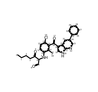 CCCCC(=O)C(C=O)Nc1ccc(Cl)c(C(=O)c2c[nH]c3ncc(-c4ccccc4)cc23)c1F